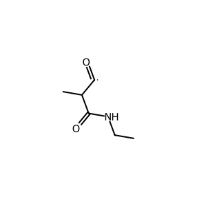 CCNC(=O)C(C)[C]=O